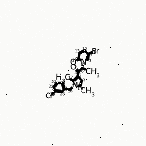 Cc1cc(C(=O)C(C)n2cc(Br)ccc2=O)c(C)n1Cc1cccc(Cl)c1